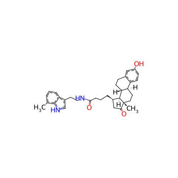 Cc1cccc2c(CCNC(=O)CCC[C@@H]3CC(=O)[C@@]4(C)CC[C@@H]5c6ccc(O)cc6CC[C@H]5[C@H]34)c[nH]c12